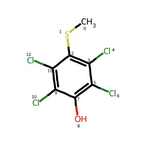 CSc1c(Cl)c(Cl)c(O)c(Cl)c1Cl